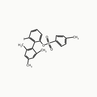 Cc1ccc(S(=O)(=O)Oc2cccc(I)c2-c2c(C)cc(C)cc2C)cc1